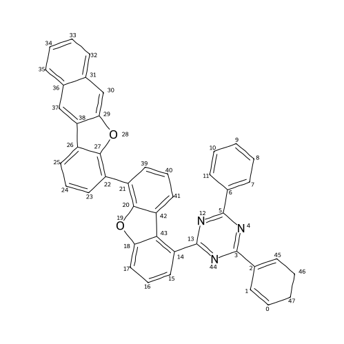 C1=CC(c2nc(-c3ccccc3)nc(-c3cccc4oc5c(-c6cccc7c6oc6cc8ccccc8cc67)cccc5c34)n2)=CCC1